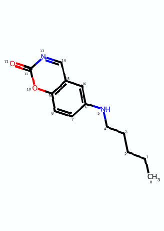 CCCCCNc1ccc2oc(=O)ncc2c1